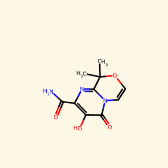 CC1(C)OC=Cn2c1nc(C(N)=O)c(O)c2=O